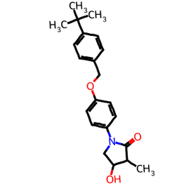 CC1C(=O)N(c2ccc(OCc3ccc(C(C)(C)C)cc3)cc2)CC1O